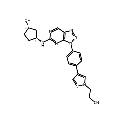 N#CCCn1cc(-c2ccc(-n3nnc4cnc(N[C@H]5CC[C@H](O)C5)nc43)cc2)cn1